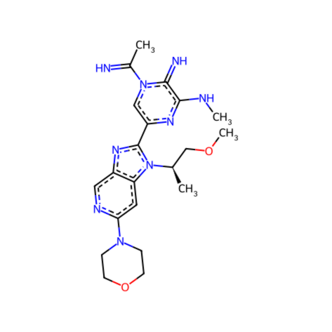 CNc1nc(-c2nc3cnc(N4CCOCC4)cc3n2[C@H](C)COC)cn(C(C)=N)c1=N